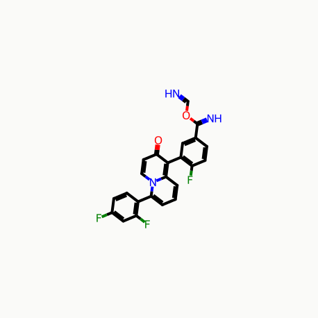 N=COC(=N)c1ccc(F)c(-c2c(=O)ccn3c(-c4ccc(F)cc4F)cccc23)c1